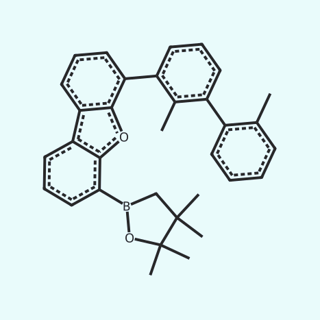 Cc1ccccc1-c1cccc(-c2cccc3c2oc2c(B4CC(C)(C)C(C)(C)O4)cccc23)c1C